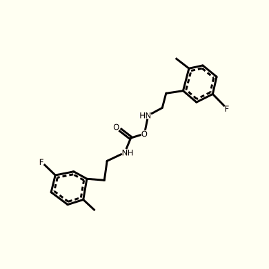 Cc1ccc(F)cc1CCNOC(=O)NCCc1cc(F)ccc1C